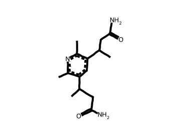 Cc1nc(C)c(C(C)CC(N)=O)cc1C(C)CC(N)=O